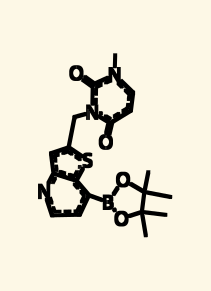 Cn1ccc(=O)n(Cc2cc3nccc(B4OC(C)(C)C(C)(C)O4)c3s2)c1=O